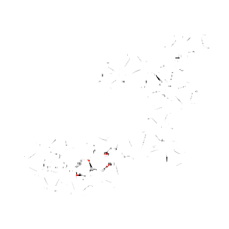 Cc1cc(-c2cccc3c2oc2ccc(-c4cc(-c5ccc(N(c6ccc(-c7cccc8c7oc7ccccc78)cc6)c6ccccc6-c6cccc7c6oc6c8ccccc8ccc76)cc5)c5c(c4)-c4ccccc4C5(C)C)cc23)ccc1N(c1ccccc1-c1cccc(-c2ccc3ccccc3c2)c1O)c1cccc2c1-c1ccccc1C2(C)C